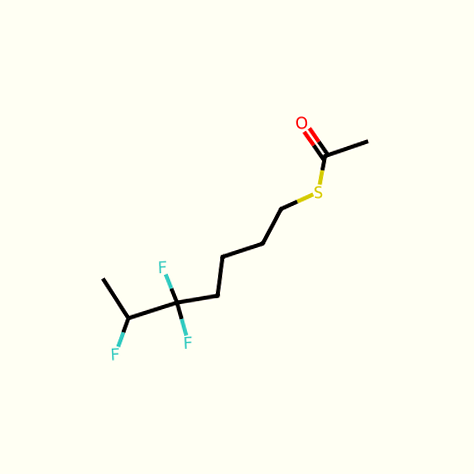 CC(=O)SCCCCC(F)(F)C(C)F